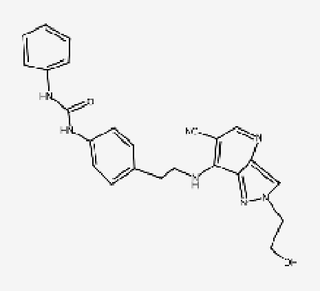 N#Cc1cnc2cn(CCO)nc2c1NCCc1ccc(NC(=O)Nc2ccccc2)cc1